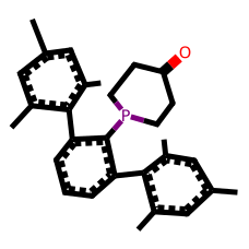 Cc1cc(C)c(-c2cccc(-c3c(C)cc(C)cc3C)c2P2CCC(=O)CC2)c(C)c1